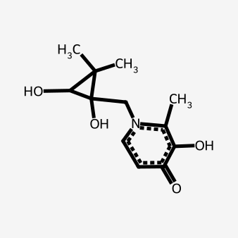 Cc1c(O)c(=O)ccn1CC1(O)C(O)C1(C)C